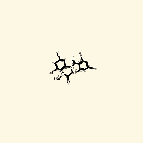 CC(C)(C)OC(=O)CN(C(=O)c1c(F)cc(F)cc1F)c1cc(F)cc(F)c1